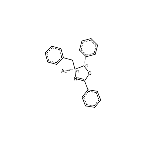 CC(=O)[C@@]1(Cc2ccccc2)N=C(c2ccccc2)O[C@H]1c1ccccc1